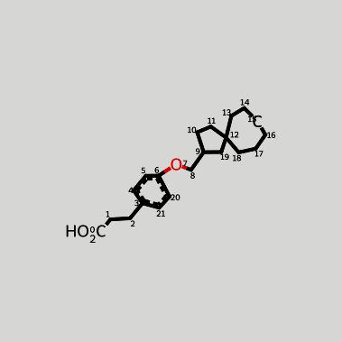 O=C(O)CCc1ccc(OCC2CCC3(CCCCCC3)C2)cc1